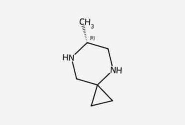 C[C@@H]1CNC2(CC2)CN1